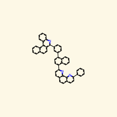 c1ccc(-c2ccc3ccc4ccc(-c5ccc(-c6cccc(-c7nc8ccccc8c8c7ccc7ccccc78)c6)c6ccccc56)nc4c3n2)cc1